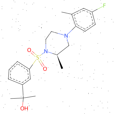 Cc1cc(F)ccc1N1CCN(S(=O)(=O)c2cccc(C(C)(C)O)c2)[C@H](C)C1